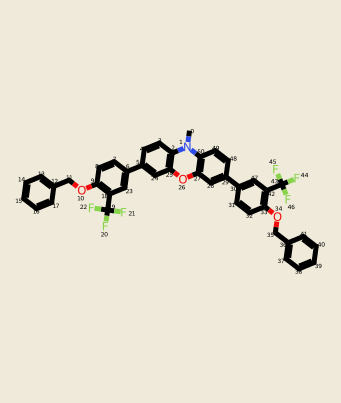 CN1c2ccc(-c3ccc(OCc4ccccc4)c(C(F)(F)F)c3)cc2Oc2cc(-c3ccc(OCc4ccccc4)c(C(F)(F)F)c3)ccc21